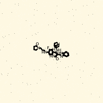 O=C1CCCN1CCCNc1cc2[nH]c(=O)c(-c3nc4ccccc4[nH]3)c(N[C@H]3CN4CCC3CC4)c2cc1F